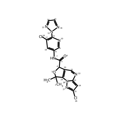 CC1(C)OC(C(=O)Nc2cnc(-n3nccn3)c(Cl)c2)c2cnc3cc(Cl)nn3c21